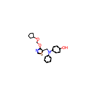 Oc1ccc(N(Cc2scnc2OCOC2CCCC2)c2ccccc2)cc1